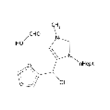 CCCCCCCN1CN(C)C=C1C(O)c1ccco1.O=CO